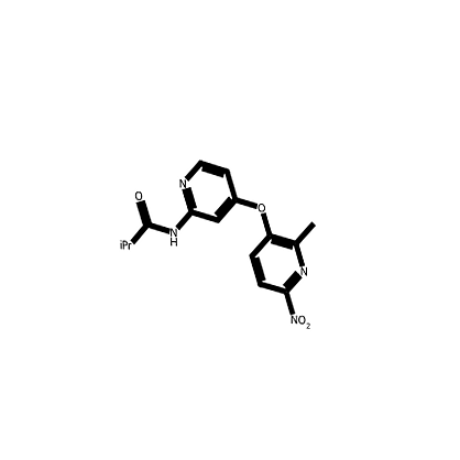 Cc1nc([N+](=O)[O-])ccc1Oc1ccnc(NC(=O)C(C)C)c1